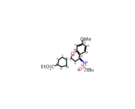 CCOC(=O)C1CCC([C@H]2C/C(=N\[S@+]([O-])C(C)(C)C)c3ccc(OC)cc3O2)CC1